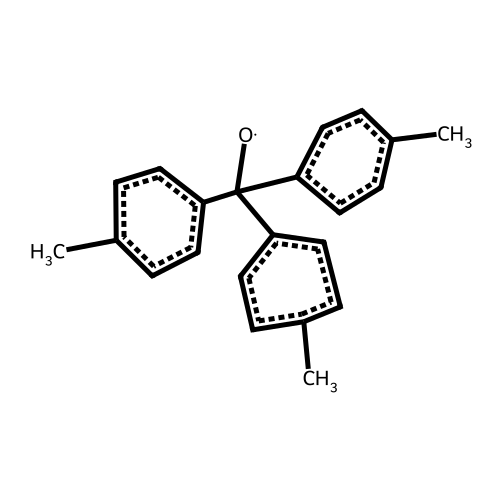 Cc1ccc(C([O])(c2ccc(C)cc2)c2ccc(C)cc2)cc1